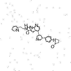 O=C(NCCc1ccccn1)c1cc2c(-c3cncc(-c4ccc(N5CCCC5=O)cc4)c3)ccnc2[nH]1